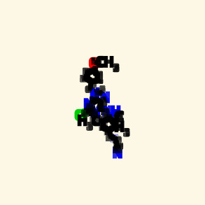 COc1ccc(Cn2cnc3c(Nc4c(C)cc(/C=C/C#N)cc4C)nc(Cl)nc32)cc1